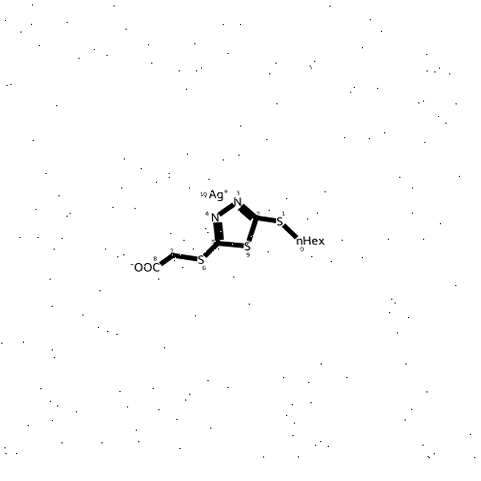 CCCCCCSc1nnc(SCC(=O)[O-])s1.[Ag+]